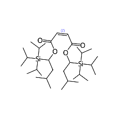 CC(C)CC(OC(=O)/C=C\C(=O)OC(CC(C)C)[Si](C(C)C)(C(C)C)C(C)C)[Si](C(C)C)(C(C)C)C(C)C